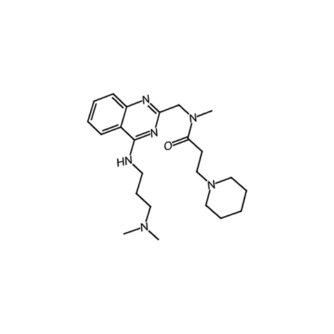 CN(C)CCCNc1nc(CN(C)C(=O)CCN2CCCCC2)nc2ccccc12